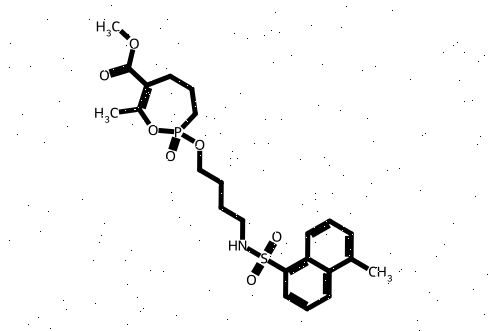 COC(=O)C1=C(C)OP(=O)(OCCCCNS(=O)(=O)c2cccc3c(C)cccc23)CCC1